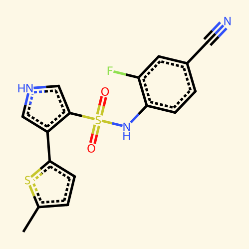 Cc1ccc(-c2c[nH]cc2S(=O)(=O)Nc2ccc(C#N)cc2F)s1